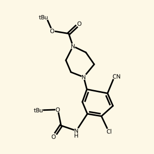 CC(C)(C)OC(=O)Nc1cc(N2CCN(C(=O)OC(C)(C)C)CC2)c(C#N)cc1Cl